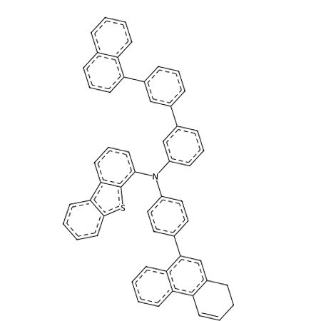 C1=Cc2c(cc(-c3ccc(N(c4cccc(-c5cccc(-c6cccc7ccccc67)c5)c4)c4cccc5c4sc4ccccc45)cc3)c3ccccc23)CC1